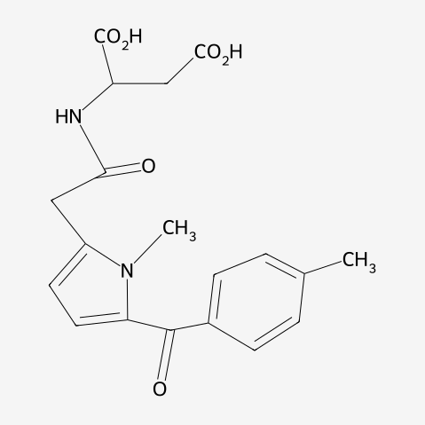 Cc1ccc(C(=O)c2ccc(CC(=O)NC(CC(=O)O)C(=O)O)n2C)cc1